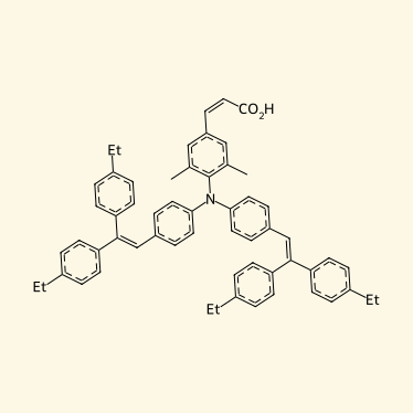 CCc1ccc(C(=Cc2ccc(N(c3ccc(C=C(c4ccc(CC)cc4)c4ccc(CC)cc4)cc3)c3c(C)cc(/C=C\C(=O)O)cc3C)cc2)c2ccc(CC)cc2)cc1